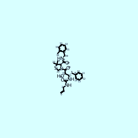 C=CCNC(=O)N[C@@H](Cc1ccccc1)[C@H](O)C(=O)N1CSC(C)(C)[C@H]1C(=O)NCc1ccccc1C